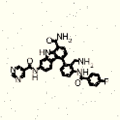 NCc1c(NC(=O)c2ccc(F)cc2)cccc1-c1ccc(C(N)=O)c2[nH]c3cc(NC(=O)c4cncnc4)ccc3c12